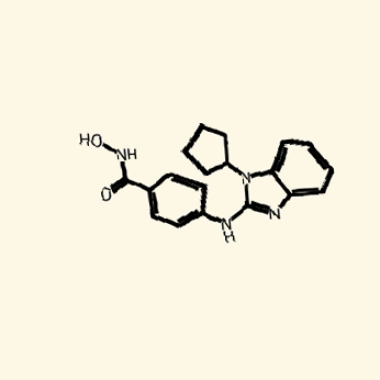 O=C(NO)c1ccc(Nc2nc3ccccc3n2C2CCCC2)cc1